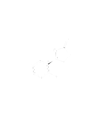 O=C1N[C@H](c2ccccc2F)CO1